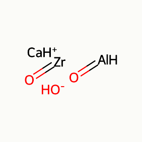 [CaH+].[OH-].[O]=[AlH].[O]=[Zr]